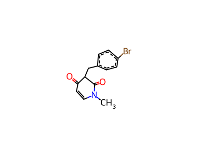 CN1C=CC(=O)C(Cc2ccc(Br)cc2)C1=O